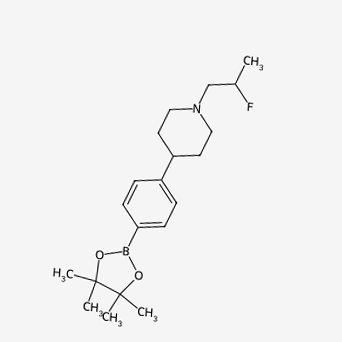 CC(F)CN1CCC(c2ccc(B3OC(C)(C)C(C)(C)O3)cc2)CC1